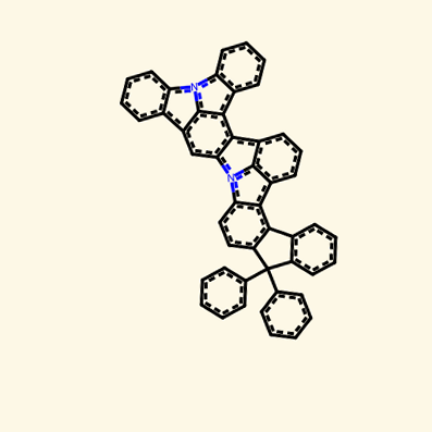 c1ccc(C2(c3ccccc3)c3ccccc3-c3c2ccc2c3c3cccc4c5c6c7ccccc7n7c8ccccc8c(cc5n2c34)c67)cc1